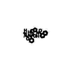 CN[C@@H](C)C(=O)N[C@H](C(=O)N1CCC2CCC(NC(=O)c3cccc4ccccc34)C21)C1CCCCC1